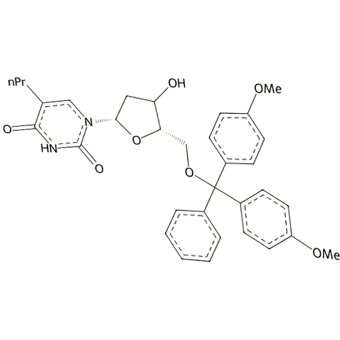 CCCc1cn([C@@H]2CC(O)[C@H](COC(c3ccccc3)(c3ccc(OC)cc3)c3ccc(OC)cc3)O2)c(=O)[nH]c1=O